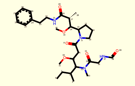 CCC(C)C(C(CC(=O)N1CCCC1C(OC)[C@@H](C)C(=O)NCCc1ccccc1)OC)N(C)C(=O)CNC=O